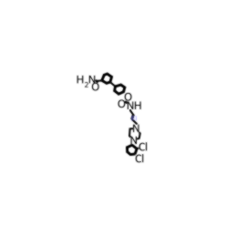 NC(=O)c1cccc(-c2ccc(OC(=O)NC/C=C/CN3CCN(c4cccc(Cl)c4Cl)CC3)cc2)c1